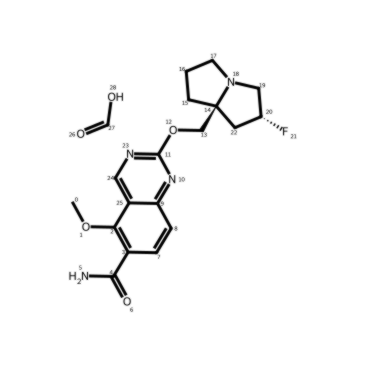 COc1c(C(N)=O)ccc2nc(OC[C@@]34CCCN3C[C@H](F)C4)ncc12.O=CO